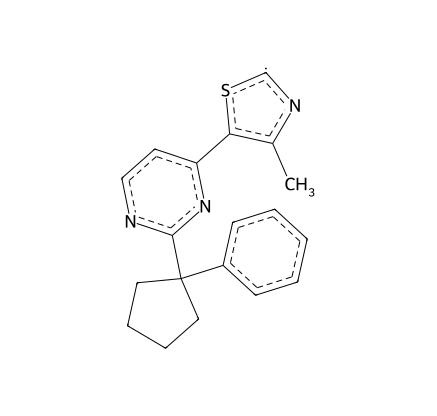 Cc1n[c]sc1-c1ccnc(C2(c3ccccc3)CCCC2)n1